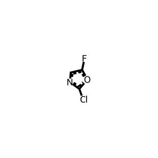 Fc1cnc(Cl)o1